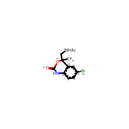 CC(=O)NCC1(C(F)(F)F)OC(=O)Nc2ccc(Br)cc21